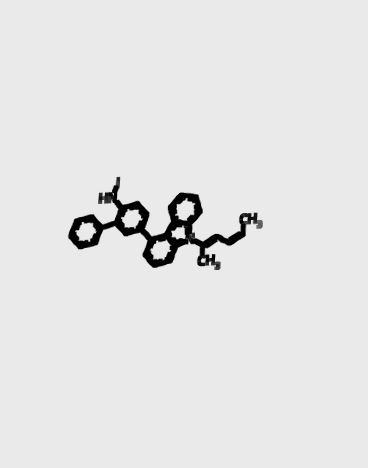 C/C=C\C=C(/C)n1c2ccccc2c2c(-c3ccc(NI)c(-c4ccccc4)c3)cccc21